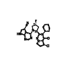 N#Cc1c[nH]c2ncnc(N3C[C@H](F)C[C@H]3c3nn4ccc(Cl)c4c(=O)n3-c3ccccc3)c12